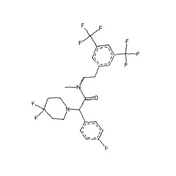 CN(CCc1cc(C(F)(F)F)cc(C(F)(F)F)c1)C(=O)C(c1ccc(F)cc1)N1CCC(F)(F)CC1